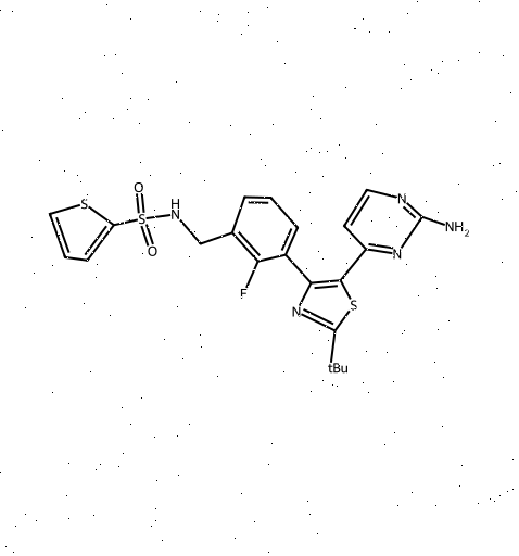 CC(C)(C)c1nc(-c2cccc(CNS(=O)(=O)c3cccs3)c2F)c(-c2ccnc(N)n2)s1